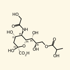 CC(O)C(=O)OC[C@@H](O)[C@@H](O)[C@@H]1O[C@](O)(C(=O)O)C[C@H](O)[C@H]1NC(=O)CO